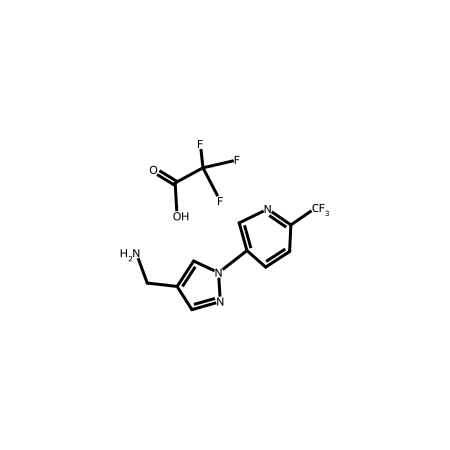 NCc1cnn(-c2ccc(C(F)(F)F)nc2)c1.O=C(O)C(F)(F)F